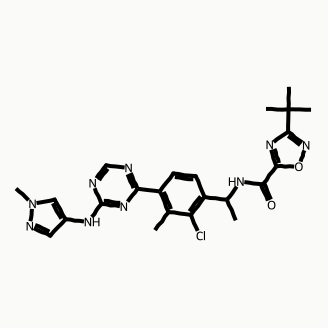 Cc1c(-c2ncnc(Nc3cnn(C)c3)n2)ccc(C(C)NC(=O)c2nc(C(C)(C)C)no2)c1Cl